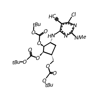 C#Cc1c(Cl)nc(NC)nc1N[C@@H]1C[C@H](COC(=O)OC(C)(C)C)[C@@H](OC(=O)OC(C)(C)C)[C@H]1OC(=O)OC(C)(C)C